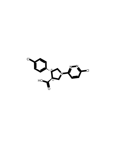 O=C(O)[C@@H]1CN(c2ccc(Cl)nn2)C[C@H]1c1ccc(Cl)cc1